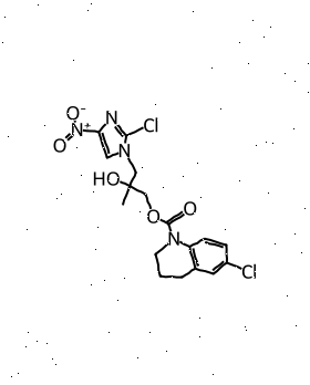 CC(O)(COC(=O)N1CCCc2cc(Cl)ccc21)Cn1cc([N+](=O)[O-])nc1Cl